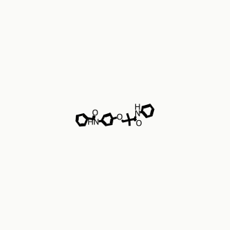 CC(C)(COc1ccc(NC(=O)c2ccccc2)cc1)C(=O)Nc1ccccc1